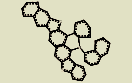 c1ccc(N(c2cccc3ccccc23)c2cccc3oc4ccccc4c23)c(-c2cccc3c2oc2cc4ccccc4cc23)c1